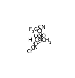 CC12CC(COc3ccc(Cl)cn3)C(C)(O1)C1C(=O)N(c3ccc(C#N)c(C(F)(F)F)c3)C(=O)C12